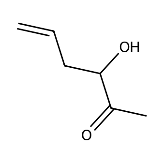 C=CCC(O)C(C)=O